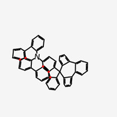 c1ccc(-c2ccccc2N(c2ccc3c(c2)-c2ccccc2C32c3ccccc3-c3ccccc3-c3ccccc32)c2ccccc2-c2ccccc2)cc1